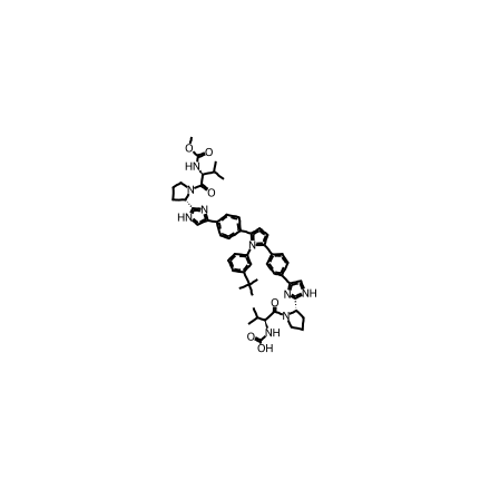 COC(=O)N[C@H](C(=O)N1CCC[C@H]1c1nc(-c2ccc(-c3ccc(-c4ccc(-c5c[nH]c([C@@H]6CCCN6C(=O)[C@@H](NC(=O)O)C(C)C)n5)cc4)n3-c3cccc(C(C)(C)C)c3)cc2)c[nH]1)C(C)C